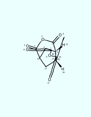 O=C1OC(=O)[C@H]2C3C(=O)OC(=O)[C@@H]2CC13